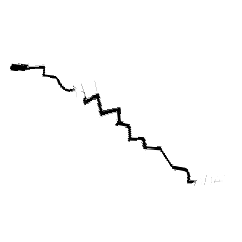 C#CCCCCNCCCC[CH]CCCCCCCCCCCCCCCCCC